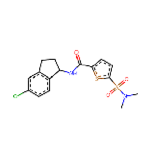 CN(C)S(=O)(=O)c1ccc(C(=O)NC2CCc3cc(Cl)ccc32)s1